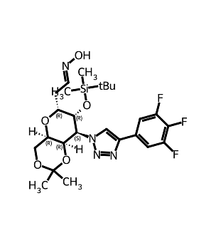 CC1(C)OC[C@H]2O[C@H](CC=NO)[C@H](O[Si](C)(C)C(C)(C)C)[C@@H](n3cc(-c4cc(F)c(F)c(F)c4)nn3)[C@H]2O1